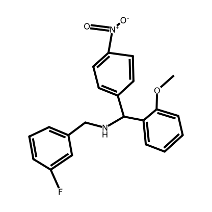 COc1ccccc1C(NCc1cccc(F)c1)c1ccc([N+](=O)[O-])cc1